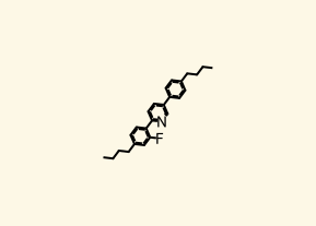 CCCCc1ccc(-c2ccc(-c3ccc(CCCC)cc3F)nc2)cc1